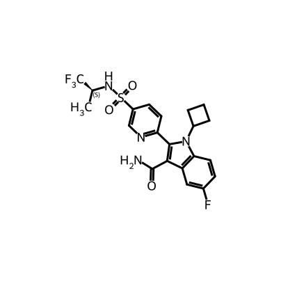 C[C@H](NS(=O)(=O)c1ccc(-c2c(C(N)=O)c3cc(F)ccc3n2C2CCC2)nc1)C(F)(F)F